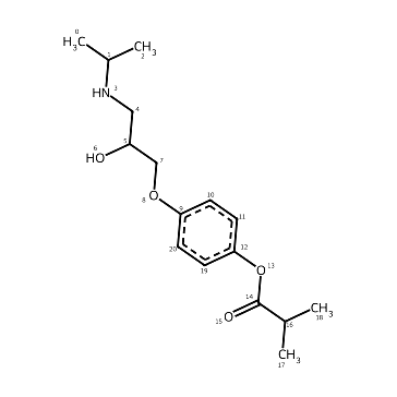 CC(C)NCC(O)COc1ccc(OC(=O)C(C)C)cc1